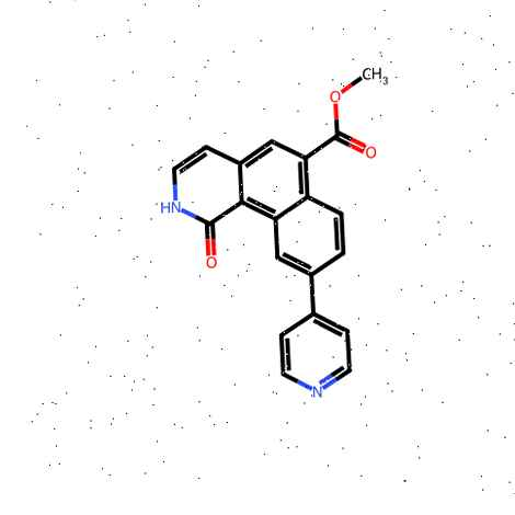 COC(=O)c1cc2cc[nH]c(=O)c2c2cc(-c3ccncc3)ccc12